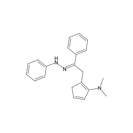 CN(C)C1=C(CC(=NNc2ccccc2)c2ccccc2)CC=C1